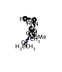 COC(=O)N(C)[C@@H](CC/C=C/C(=O)N(C)C)C(=O)Nc1cccn(Cc2nc3cccc(OCc4ccc(F)cc4F)c3[nH]2)c1=O